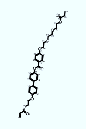 C=CC(=O)OCCOc1ccc(-c2ccc(OC(=O)c3ccc(OCCOCCOCCOC(=O)CC)cc3)cc2)cc1